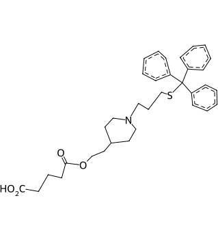 O=C(O)CCCC(=O)OCCC1CCN(CCCSC(c2ccccc2)(c2ccccc2)c2ccccc2)CC1